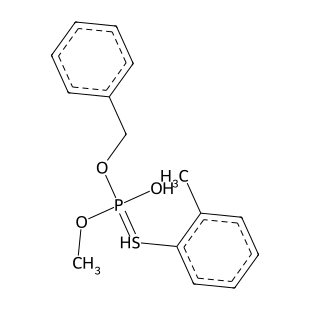 COP(O)(OCc1ccccc1)=[SH]c1ccccc1C